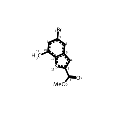 COC(=O)c1cc2cc(Br)cc(C)c2s1